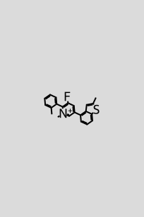 Cc1cc2c(-c3cc(F)c(-c4ccccc4C)[n+](C)c3)cccc2s1